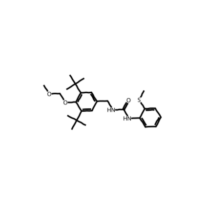 COCOc1c(C(C)(C)C)cc(CNC(=O)Nc2ccccc2SC)cc1C(C)(C)C